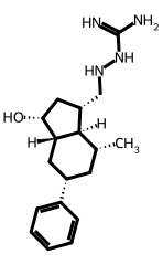 C[C@@H]1C[C@H](c2ccccc2)C[C@H]2[C@H]1[C@@H](CNNC(=N)N)C[C@H]2O